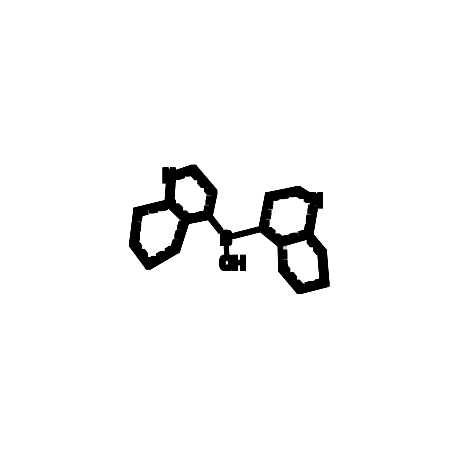 OB(c1ccnc2ccccc12)c1ccnc2ccccc12